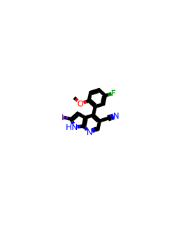 COc1ccc(F)cc1-c1c(C#N)cnc2[nH]c(I)cc12